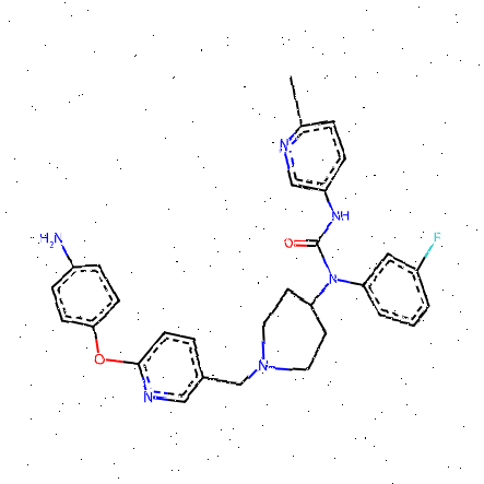 Cc1ccc(NC(=O)N(c2cccc(F)c2)C2CCN(Cc3ccc(Oc4ccc(N)cc4)nc3)CC2)cn1